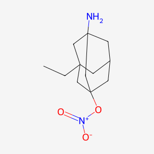 CCC12CC3CC(N)(C1)CC(O[N+](=O)[O-])(C3)C2